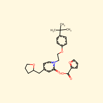 CC(C)(C)c1ccc(OCCn2ccc(CC3CCCO3)cc2=O)cc1.O=C(O)c1ccco1